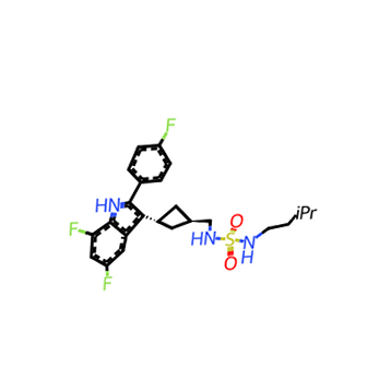 CC(C)CCNS(=O)(=O)NC[C@H]1C[C@H](c2c(-c3ccc(F)cc3)[nH]c3c(F)cc(F)cc32)C1